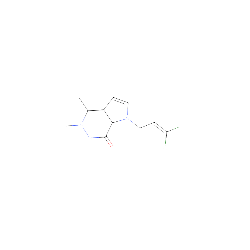 CC1C2C=CN(CC=C(Cl)Cl)C2C(=O)NN1C